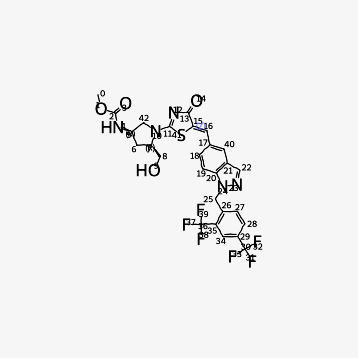 COC(=O)N[C@@H]1C[C@H](CO)N(C2=NC(=O)/C(=C/c3ccc4c(cnn4Cc4ccc(C(F)(F)F)cc4C(F)(F)F)c3)S2)C1